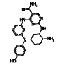 NC(=O)c1cnc(NC2CCCCC2N)nc1Nc1cccc(Sc2ccc(O)cc2)c1